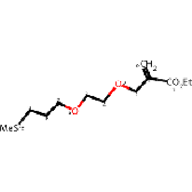 C=C(COCCOCCCSC)C(=O)OCC